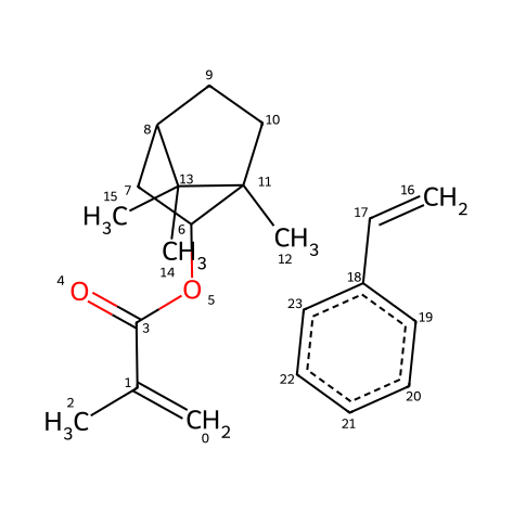 C=C(C)C(=O)OC1CC2CCC1(C)C2(C)C.C=Cc1ccccc1